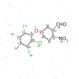 Cc1c(F)c(F)c(Oc2ccc([N+](=O)[O-])c(C=O)c2)c(Cl)c1F